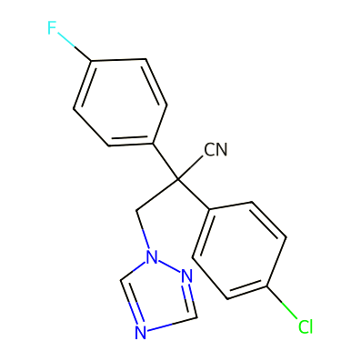 N#CC(Cn1cncn1)(c1ccc(F)cc1)c1ccc(Cl)cc1